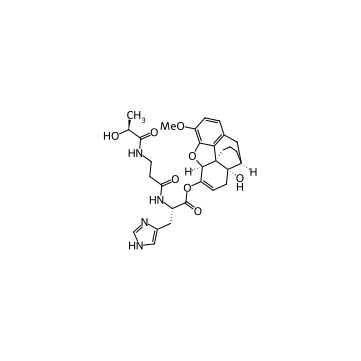 COc1ccc2c3c1O[C@@H]1C(OC(=O)[C@H](Cc4c[nH]cn4)NC(=O)CCNC(=O)[C@H](C)O)=CC[C@]4(O)[C@@H](CCC[C@@]314)C2